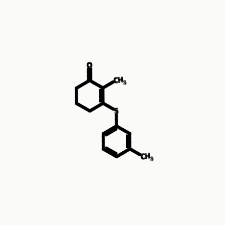 CC1=C(Sc2cccc(C)c2)CCCC1=O